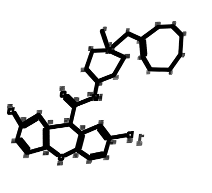 C[N+]1(CC2=CCCCCCC2)CCC(NC(=O)C2c3cc(Cl)ccc3Oc3ccc(Cl)cc32)CC1.[I-]